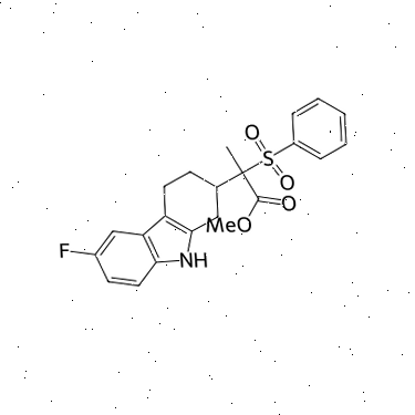 COC(=O)C(C)(C1CCc2c([nH]c3ccc(F)cc23)C1)S(=O)(=O)c1ccccc1